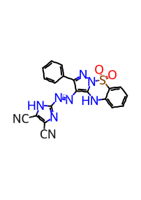 N#Cc1nc(/N=N/c2c(-c3ccccc3)nn3c2Nc2ccccc2S3(=O)=O)[nH]c1C#N